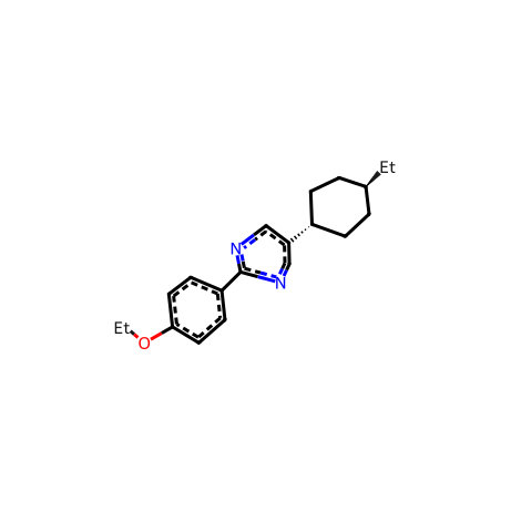 CCOc1ccc(-c2ncc([C@H]3CC[C@H](CC)CC3)cn2)cc1